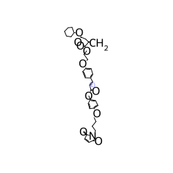 C=C(CC(=O)OC1CCCCC1)C(=O)OCCOc1ccc(/C=C/C(=O)Oc2ccc(OCCCCN3C(=O)C=CC3=O)cc2)cc1